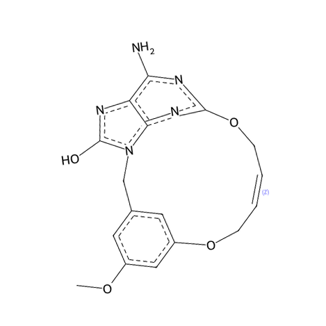 COc1cc2cc(c1)OC/C=C\COc1nc(N)c3nc(O)n(c3n1)C2